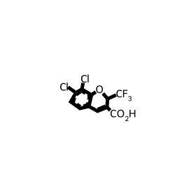 O=C(O)C1=Cc2ccc(Cl)c(Cl)c2OC1C(F)(F)F